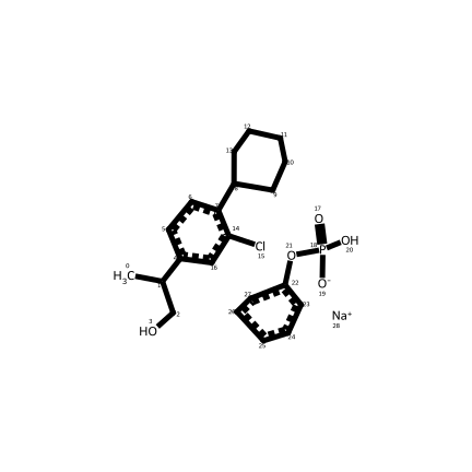 CC(CO)c1ccc(C2CCCCC2)c(Cl)c1.O=P([O-])(O)Oc1ccccc1.[Na+]